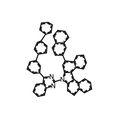 c1ccc(-c2ccc(-c3cccc(-c4nc(-n5c6ccc7ccccc7c6c6c7ccccc7c(-c7ccc8ccccc8c7)cc65)nc5ccccc45)c3)cc2)cc1